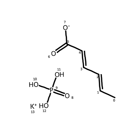 C/C=C/C=C/C(=O)[O-].O=P(O)(O)O.[K+]